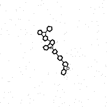 c1ccc(C2c3ccccc3-c3ccc(-c4cccc5c4c4ccccc4n5-c4ccc(-c5ccc(-c6ccc7oc8ccccc8c7c6)cc5)cc4)cc32)cc1